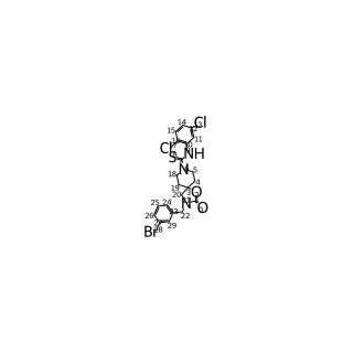 O=C1OC2(CCN(C(=S)Nc3cc(Cl)ccc3Cl)CC2)CN1Cc1cccc(Br)c1